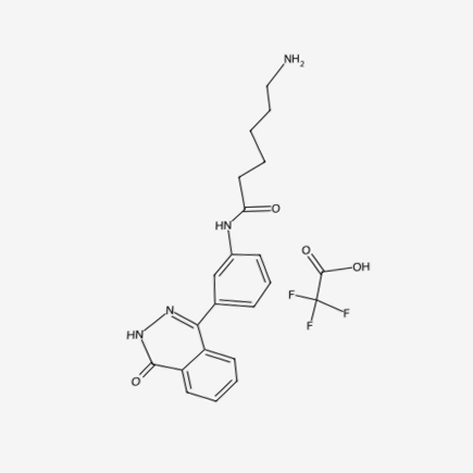 NCCCCCC(=O)Nc1cccc(-c2n[nH]c(=O)c3ccccc23)c1.O=C(O)C(F)(F)F